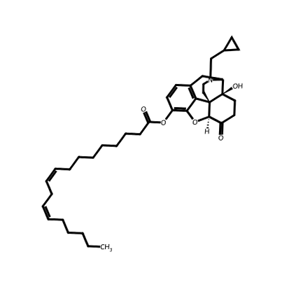 CCCCC/C=C\C/C=C\CCCCCCCC(=O)Oc1ccc2c3c1O[C@@H]1C(=O)CC[C@@]4(O)C(C2)N(CC2CC2)CC[C@]314